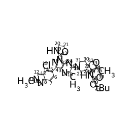 Cc1nc2c(-c3ccc4nn(C)cc4c3Cl)nn(C3NCCO3)c2nc1N1CCC2(CC1)CO[C@@H](C)[C@H]2NC(=O)OC(C)(C)C